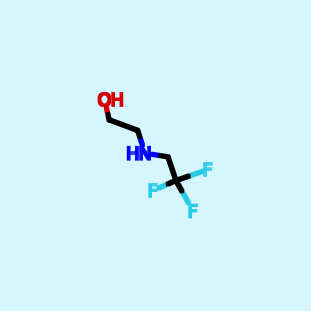 OCCNCC(F)(F)F